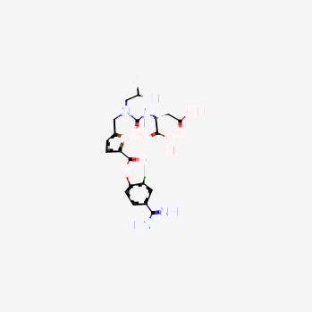 CC(C)CN(Cc1ccc(C(=O)Oc2ccc(C(=N)N)cc2F)s1)C(=O)N[C@@H](CC(=O)O)C(=O)O